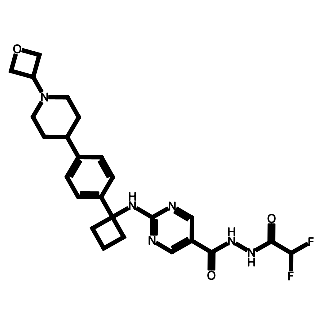 O=C(NNC(=O)C(F)F)c1cnc(NC2(c3ccc(C4CCN(C5COC5)CC4)cc3)CCC2)nc1